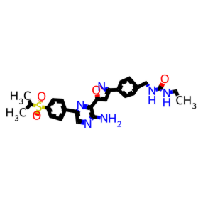 CCNC(=O)NCc1ccc(-c2cc(-c3nc(-c4ccc(S(=O)(=O)C(C)C)cc4)cnc3N)on2)cc1